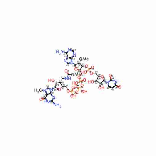 CNC(=O)NC[C@H]1[C@@H](O)[C@H](n2c[n+](C)c3c(=O)[nH]c(N)nc32)O[C@@H]1COP(=O)(O)OP(=O)(O)OP(=O)(O)OC[C@H]1O[C@@H](n2cnc3c(N)ncnc32)[C@H](OC)[C@@H]1OP(=O)(O)OC[C@H]1O[C@@H](n2ccc(=O)[nH]c2=O)[C@H](O)[C@@H]1O